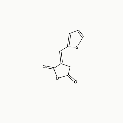 O=C1CC(=Cc2cccs2)C(=O)O1